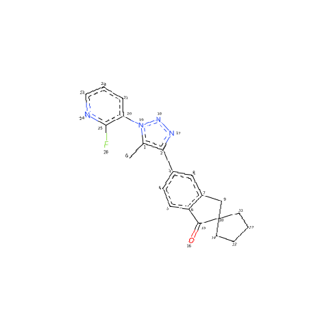 Cc1c(-c2ccc3c(c2)CC2(CCCC2)C3=O)nnn1-c1cccnc1F